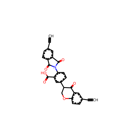 C#Cc1ccc2c(c1)C(=O)C(c1ccc(N3C(=O)c4ccc(C#C)cc4C3=O)c(C(=O)O)c1)CO2